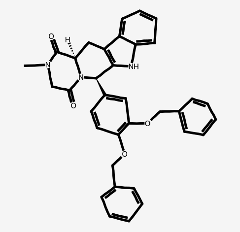 CN1CC(=O)N2[C@H](c3ccc(OCc4ccccc4)c(OCc4ccccc4)c3)c3[nH]c4ccccc4c3C[C@@H]2C1=O